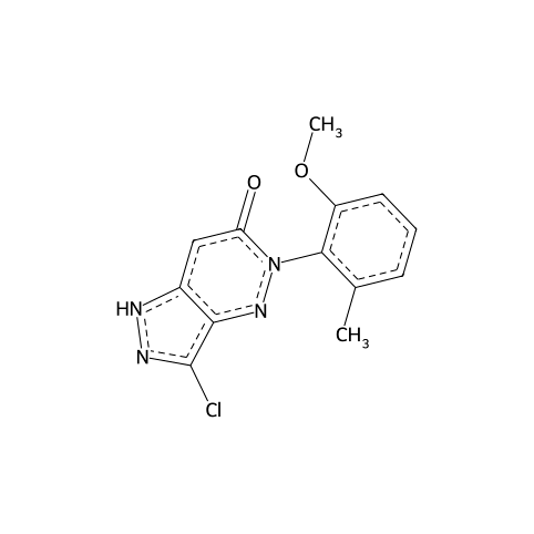 COc1cccc(C)c1-n1nc2c(Cl)n[nH]c2cc1=O